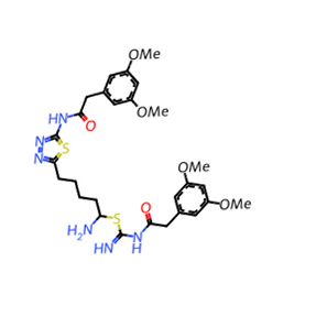 COc1cc(CC(=O)NC(=N)SC(N)CCCCc2nnc(NC(=O)Cc3cc(OC)cc(OC)c3)s2)cc(OC)c1